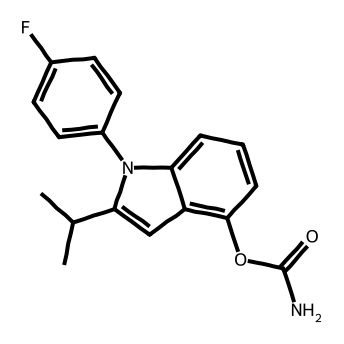 CC(C)c1cc2c(OC(N)=O)cccc2n1-c1ccc(F)cc1